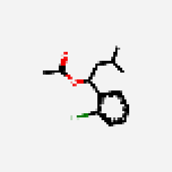 CC(=O)OC(CC(C)C)c1ccccc1Cl